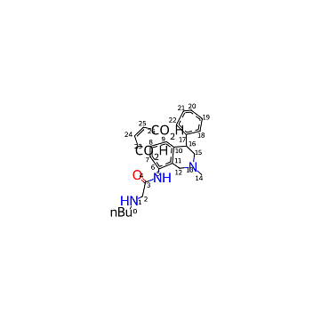 CCCCNCC(=O)Nc1cccc2c1CN(C)CC2c1ccccc1.O=C(O)/C=C\C(=O)O